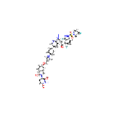 O=C1CCC(N2Cc3cc(OCC4CN(c5ccc(-c6cnc7[nH]cc(C(=O)c8c(F)ccc(NS(=O)(=O)N9CC[C@@H](F)C9)c8F)c7c6)cc5)C4)ccc3C2=O)C(=O)N1